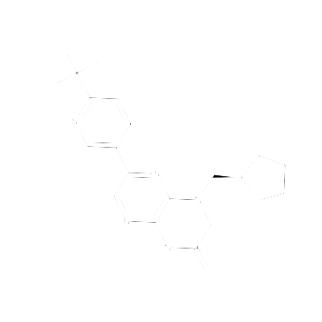 CC(C)(O)c1ccc(-c2cnc3c(n2)N(C[C@H]2CCCO2)CC(=O)N3)cn1